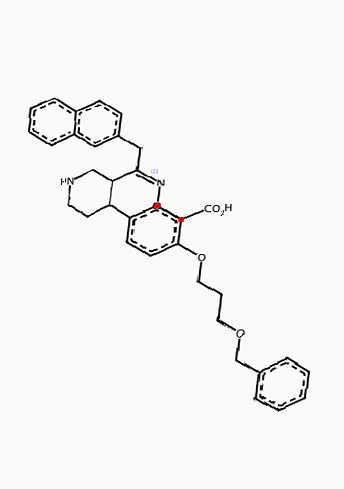 O=C(O)CO/N=C(/Cc1ccc2ccccc2c1)C1CNCCC1c1ccc(OCCCOCc2ccccc2)cc1